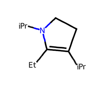 CCC1=C(C(C)C)CCN1C(C)C